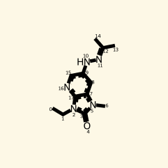 CCn1c(=O)n(C)c2cc(NN=C(C)C)cnc21